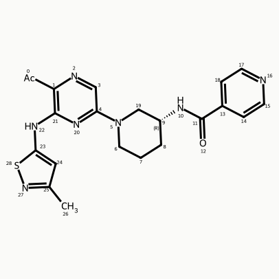 CC(=O)c1ncc(N2CCC[C@@H](NC(=O)c3ccncc3)C2)nc1Nc1cc(C)ns1